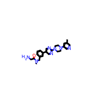 Cc1cncc(N2CCN(c3ncc(-c4cccc(CN(C)C(=O)CN)c4)cn3)CC2)c1